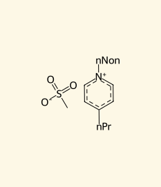 CCCCCCCCC[n+]1ccc(CCC)cc1.CS(=O)(=O)[O-]